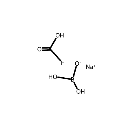 O=C(O)F.[Na+].[O-]B(O)O